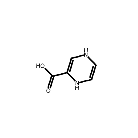 O=C(O)C1=CNC=CN1